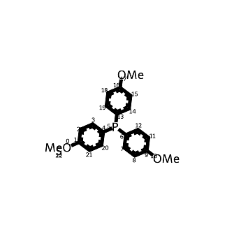 COc1ccc(P(c2ccc(OC)cc2)c2ccc(OC)cc2)cc1.[S]